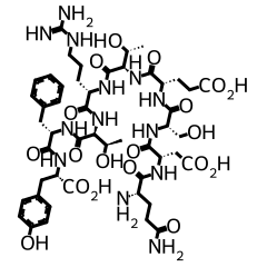 C[C@@H](O)[C@H](NC(=O)[C@H](CCCNC(=N)N)NC(=O)[C@@H](NC(=O)[C@H](CCC(=O)O)NC(=O)[C@H](CO)NC(=O)[C@H](CC(=O)O)NC(=O)[C@@H](N)CCC(N)=O)[C@@H](C)O)C(=O)N[C@@H](Cc1ccccc1)C(=O)N[C@@H](Cc1ccc(O)cc1)C(=O)O